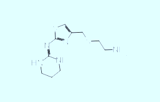 NCCSCc1csc(N=C2NCCCN2)n1